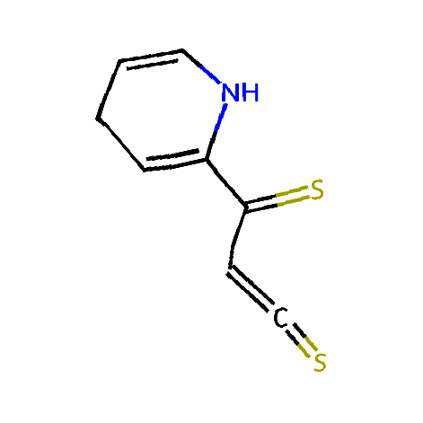 S=C=CC(=S)C1=CCC=CN1